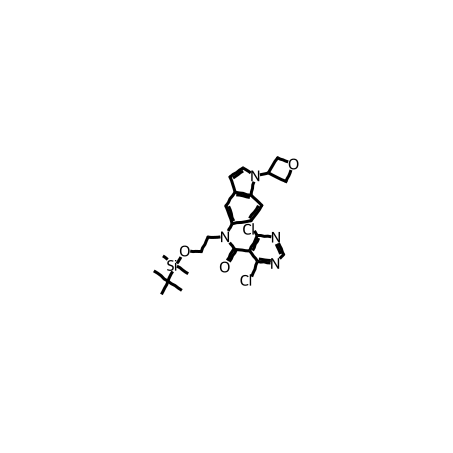 CC(C)(C)[Si](C)(C)OCCN(C(=O)c1c(Cl)ncnc1Cl)c1ccc2c(ccn2C2COC2)c1